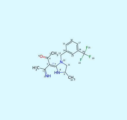 CC(=N)/C(C(C)=O)=C1\NC(C)CN1Cc1cccc(C(F)(F)F)c1